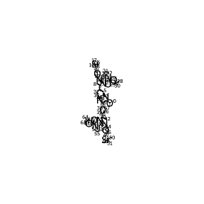 COc1nc2cc(-c3cn(COCC[Si](C)(C)C)c([C@@H]4CCCN4C(=O)OC(C)(C)C)n3)ccc2nc1-c1ccc(-c2cn(COCC[Si](C)(C)C)c(C3CCCN3C(=O)OC(C)(C)C)n2)cc1